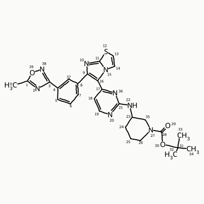 Cc1nc(-c2cccc(-c3nc4sccn4c3-c3ccnc(NC4CCCN(C(=O)OC(C)(C)C)C4)n3)c2)no1